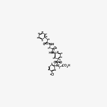 O=C(O)CN(c1cccc(Cl)c1)S(=O)(=O)c1cccc(NC(=O)CNC(=O)Cc2ccccc2)c1